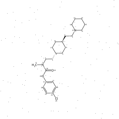 CN(CC[C@H]1CC[C@H](CCN2CCCCC2)CC1)C(=O)Oc1ccc(Cl)cc1